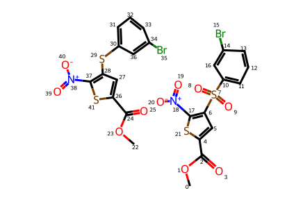 COC(=O)c1cc(S(=O)(=O)c2cccc(Br)c2)c([N+](=O)[O-])s1.COC(=O)c1cc(Sc2cccc(Br)c2)c([N+](=O)[O-])s1